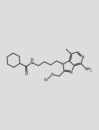 CCOCc1nc2c(N)ncc(C)c2n1CCCCNC(=O)C1CCCCC1